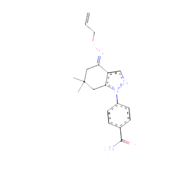 C=CCON=C1CC(C)(C)Cc2c1cnn2-c1ccc(C(N)=O)cc1